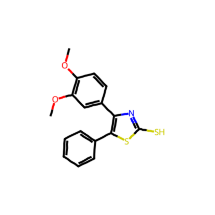 COc1ccc(-c2nc(S)sc2-c2ccccc2)cc1OC